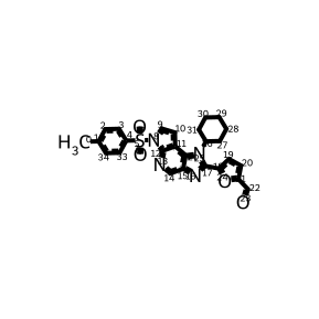 Cc1ccc(S(=O)(=O)n2ccc3c2ncc2nc(-c4ccc(C=O)o4)n(C4CCCCC4)c23)cc1